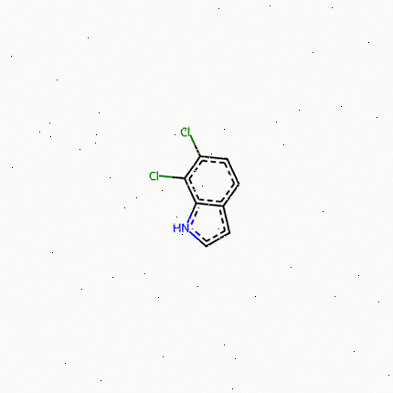 Clc1ccc2cc[nH]c2c1Cl